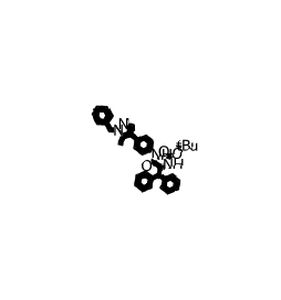 Cc1c(-c2ccc(NC(=O)[C@@H](NC(=O)OC(C)(C)C)C(c3ccccc3)c3ccccc3)cc2)cnn1Cc1ccccc1